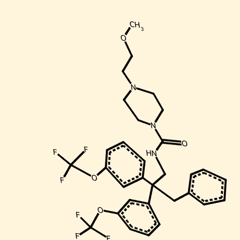 COCCN1CCN(C(=O)NCC(Cc2ccccc2)(c2cccc(OC(F)(F)F)c2)c2cccc(OC(F)(F)F)c2)CC1